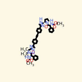 COC(=O)NC(C(=O)N(C)[C@@H](C)c1nc(-c2ccc(C#Cc3ccc(-c4c[nH]c([C@@H]5CCCN5C(=O)[C@H](NC(=O)OC)c5ccccc5)n4)cc3)cc2)c[nH]1)c1ccccc1